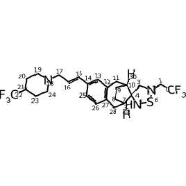 FC(F)(F)CN1C[C@@]2(NS1)[C@@H]1CC[C@@H]2Cc2cc(/C=C/CN3CCC(C(F)(F)F)CC3)ccc2C1